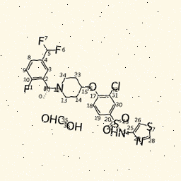 C[C@H](c1cc(C(F)F)ccc1F)N1CCC(Oc2ccc(S(=O)(=O)Nc3cscn3)cc2Cl)CC1.O=CO